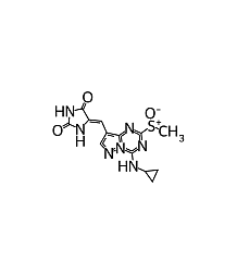 C[S+]([O-])c1nc(NC2CC2)n2ncc(C=C3NC(=O)NC3=O)c2n1